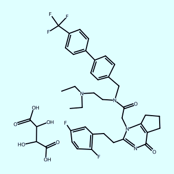 CCN(CC)CCN(Cc1ccc(-c2ccc(C(F)(F)F)cc2)cc1)C(=O)Cn1c(CCc2cc(F)ccc2F)nc(=O)c2c1CCC2.O=C(O)C(O)C(O)C(=O)O